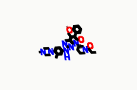 CCC(=O)N1CCC[C@H](n2c(=O)c(-c3ccccc3OC)c(C)c3cnc(Nc4ccc(N5CCN(C)CC5)c(C)c4)nc32)C1